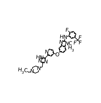 CCN1CCN(Cc2n[nH]c(-c3cc(Oc4ccc5c(c4)nc(Nc4cc(C(F)(F)F)ccc4F)n5C)ccn3)n2)CC1